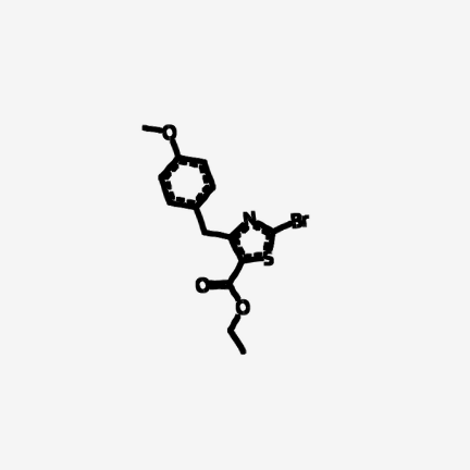 CCOC(=O)c1sc(Br)nc1Cc1ccc(OC)cc1